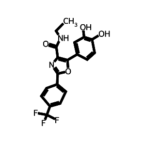 CCNC(=O)c1nc(-c2ccc(C(F)(F)F)cc2)oc1-c1ccc(O)c(O)c1